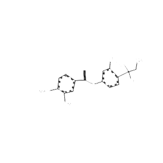 COc1ccc(C(=O)Nc2ccc(C(C)(C)CN)c(Cl)c2)cc1OC